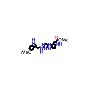 COC(=O)c1cc2cc(Nc3ccnc(NCCc4c[nH]c5ccc(OC)cc45)n3)ccc2[nH]1